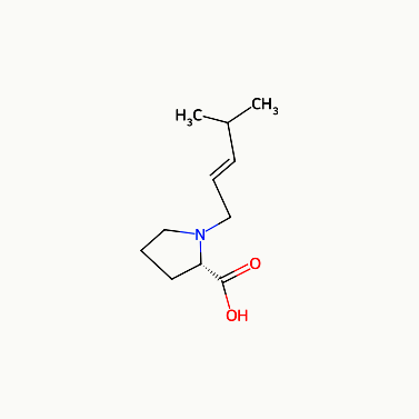 CC(C)/C=C/CN1CCC[C@H]1C(=O)O